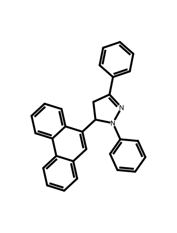 c1ccc(C2=NN(c3ccccc3)C(c3cc4ccccc4c4ccccc34)C2)cc1